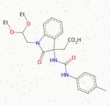 CCOC(CN1C(=O)C(CC(=O)O)(NC(=O)Nc2ccc(C)cc2)c2ccccc21)OCC